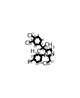 CC(C)(c1ccc(Cl)c(Cl)c1)c1cnc(CCl)n1-c1ccc(F)cc1